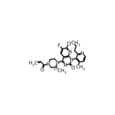 C=CC(=O)N1CCN(c2nc(=O)n(-c3c(C)ccnc3CCC)c3nc(Cl)c(F)cc23)[C@@H](C)C1